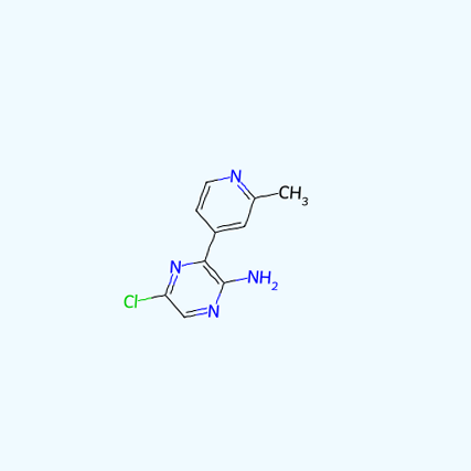 Cc1cc(-c2nc(Cl)cnc2N)ccn1